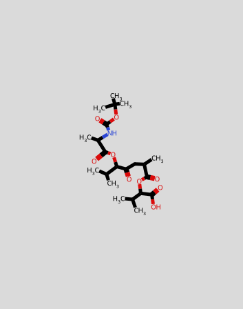 CC(CC(=O)C(OC(=O)C(C)NC(=O)OC(C)(C)C)C(C)C)C(=O)OC(C(=O)O)C(C)C